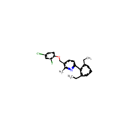 CCc1cccc(CC)c1-c1ccc(COc2ccc(Cl)cc2F)c(C)n1